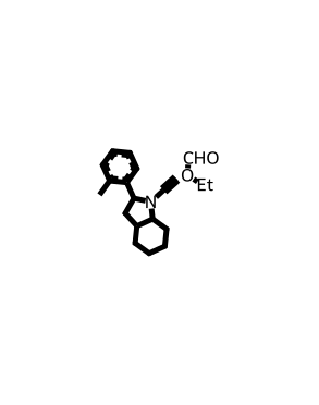 C#CN1C(c2ccccc2C)CC2CCCCC21.CCOC=O